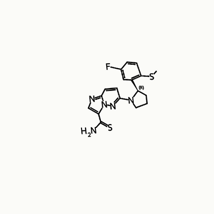 CSc1ccc(F)cc1[C@H]1CCCN1c1ccc2ncc(C(N)=S)n2n1